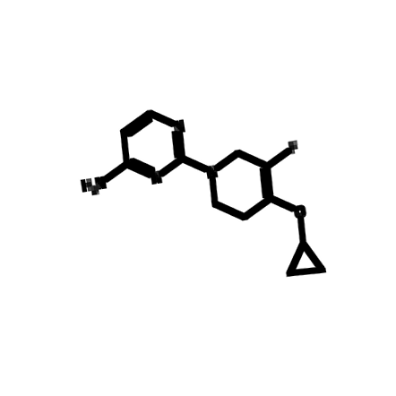 Nc1ccnc(N2CCC(OC3CC3)=C(F)C2)n1